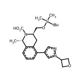 C[C@H]1c2cccc(-c3cnn(C4COC4)c3)c2C[C@H](CO[Si](C)(C)C(C)(C)C)N1C(=O)O